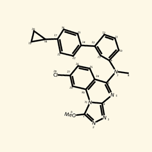 COc1nnc2nc(N(C)c3cccc(-c4ccc(C5CC5)cc4)c3)c3ccc(Cl)cc3n12